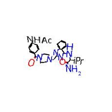 CC(=O)Nc1ccc(C(=O)N2CCN(Cc3nc(N[C@H](C(N)=O)C(C)C)c4ccccc4n3)CC2)cc1